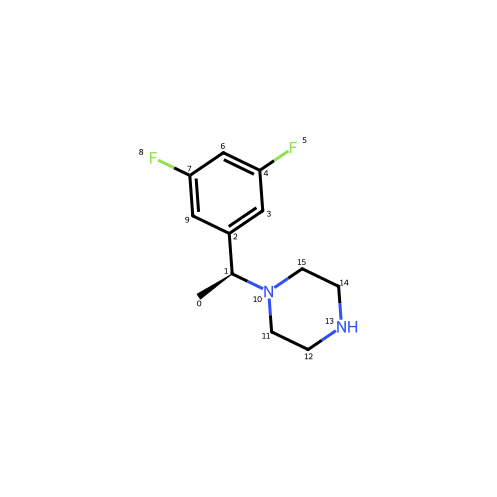 C[C@@H](c1cc(F)cc(F)c1)N1CCNCC1